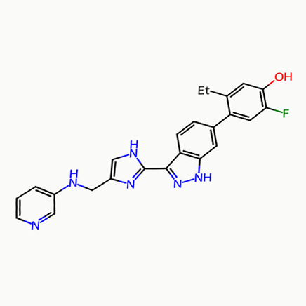 CCc1cc(O)c(F)cc1-c1ccc2c(-c3nc(CNc4cccnc4)c[nH]3)n[nH]c2c1